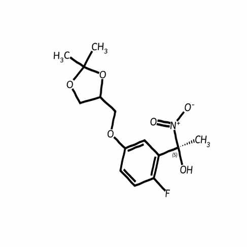 CC1(C)OCC(COc2ccc(F)c([C@](C)(O)[N+](=O)[O-])c2)O1